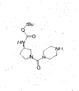 CC(C)(C)OC(=O)N[C@@H]1CCN(C(=O)N2CCNCC2)C1